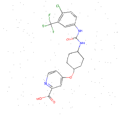 O=C(Nc1ccc(Cl)c(C(F)(F)F)c1)NC1CCC(Oc2ccnc(C(=O)O)c2)CC1